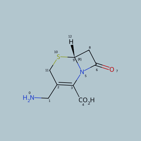 NCC1=C(C(=O)O)N2C(=O)C[C@H]2SC1